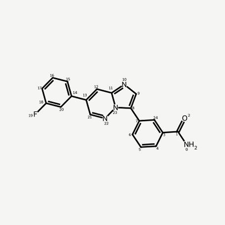 NC(=O)c1cccc(-c2cnc3cc(-c4cccc(F)c4)cnn23)c1